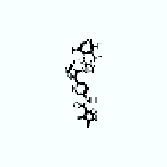 Cc1noc(C(=O)Nc2ccc(-c3nnn(C)c3NC(=O)O[C@H](C)c3cc(F)cnc3F)nc2)c1C